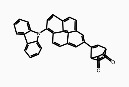 O=C1C(=O)C2C=CC1C=C2c1cc2ccc3ccc(-n4c5ccccc5c5ccccc54)c4ccc(c1)c2c34